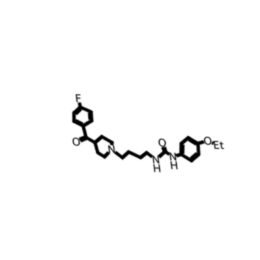 CCOc1ccc(NC(=O)NCCCCN2CCC(C(=O)c3ccc(F)cc3)CC2)cc1